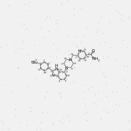 CC(C)(C)c1ccc(-c2nc3cccc(N4CCN(Cc5ccc(C(N)=O)cn5)CC4)c3[nH]2)cc1